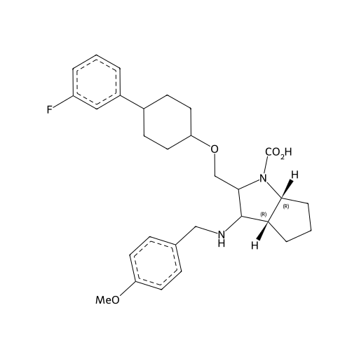 COc1ccc(CNC2C(COC3CCC(c4cccc(F)c4)CC3)N(C(=O)O)[C@@H]3CCC[C@H]23)cc1